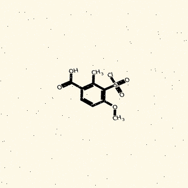 COc1ccc(C(=O)O)c(C)c1S(=O)(=O)Cl